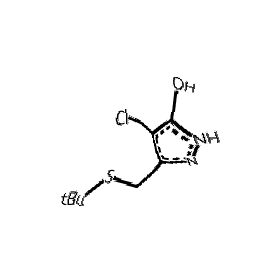 CC(C)(C)SCc1n[nH]c(O)c1Cl